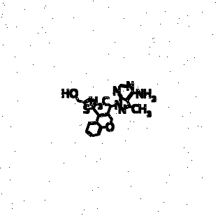 Cc1nn(C(C)C2=C(c3ccc(CO)s3)c3ccccc3OC2)c2ncnc(N)c12